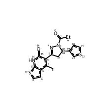 CCC(=O)N1N=C(c2c(C)c3ccsc3[nH]c2=O)C[C@@H]1c1ccsc1